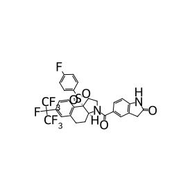 O=C1Cc2cc(C(=O)N3CC[C@]4(S(=O)(=O)c5ccc(F)cc5)c5ccc(C(F)(C(F)(F)F)C(F)(F)F)cc5CC[C@H]34)ccc2N1